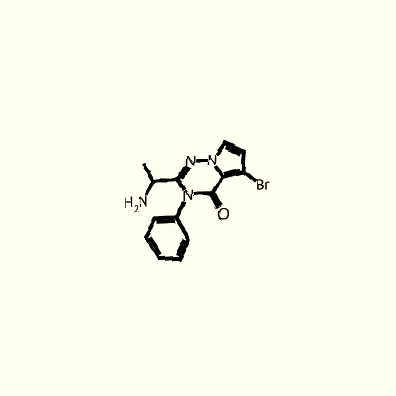 CC(N)c1nn2ccc(Br)c2c(=O)n1-c1ccccc1